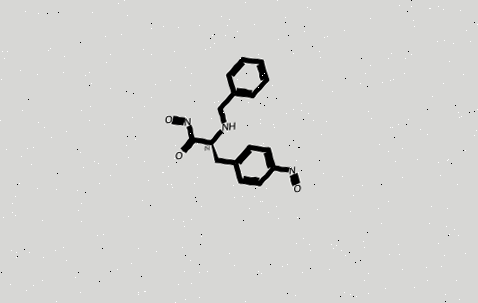 O=NC(=O)[C@H](Cc1ccc(N=O)cc1)NCc1ccccc1